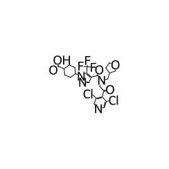 O=C(CN(CC1CCOC1)C(=O)c1cnn(C2CCC(C(=O)O)CC2)c1C(F)(F)F)c1c(Cl)cncc1Cl